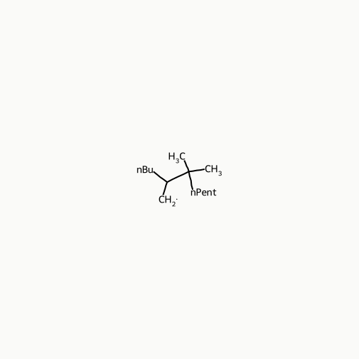 [CH2]C(CCCC)C(C)(C)CCCCC